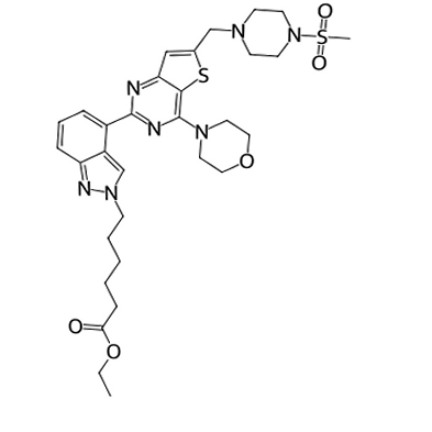 CCOC(=O)CCCCCn1cc2c(-c3nc(N4CCOCC4)c4sc(CN5CCN(S(C)(=O)=O)CC5)cc4n3)cccc2n1